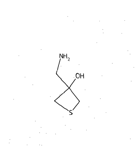 NCC1(O)CSC1